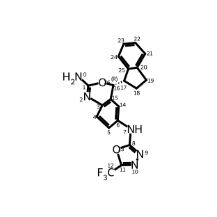 NC1=Nc2ccc(Nc3nnc(C(F)(F)F)o3)cc2[C@@H](C2CCc3ccccc32)O1